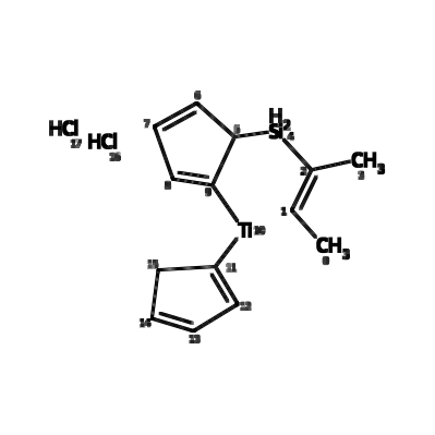 CC=C(C)[SiH2]C1C=CC=[C]1[Ti][C]1=CC=CC1.Cl.Cl